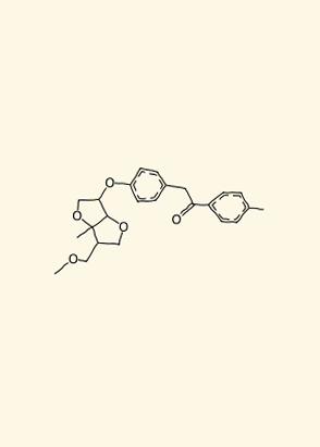 COCC1COC2C(Oc3ccc(CC(=O)c4ccc(C)cc4)cc3)COC12C